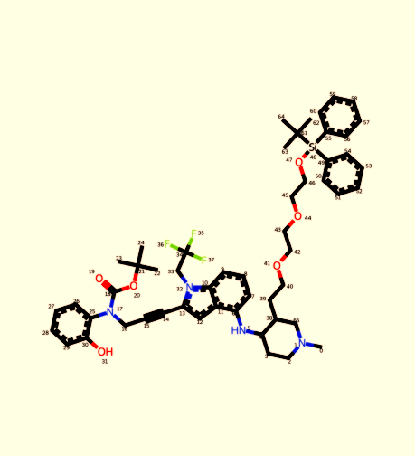 CN1CCC(Nc2cccc3c2cc(C#CCN(C(=O)OC(C)(C)C)c2ccccc2O)n3CC(F)(F)F)C(CCOCCOCCO[Si](c2ccccc2)(c2ccccc2)C(C)(C)C)C1